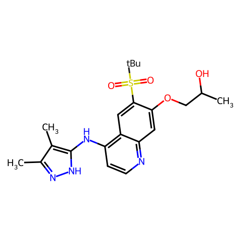 Cc1n[nH]c(Nc2ccnc3cc(OCC(C)O)c(S(=O)(=O)C(C)(C)C)cc23)c1C